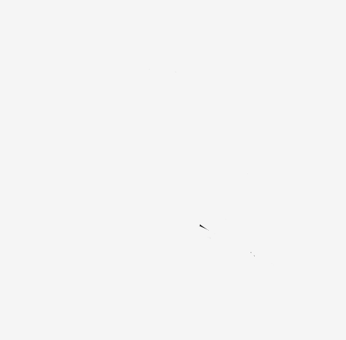 O=C(O)N1CC[C@@H](c2ccc(OCCCOCc3cccs3)cc2)[C@H](OCc2ccc3ccc(OCC4CO4)cc3c2)C1